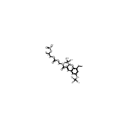 CCc1cc(OC(F)(F)F)cc2c1O[C@H](C(F)(F)F)C(C(=O)OCOC(=O)OCC(C)O[N+](=O)[O-])=C2